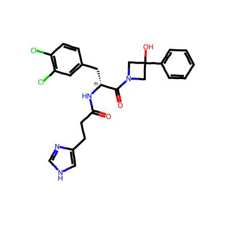 O=C(CCc1c[nH]cn1)N[C@H](Cc1ccc(Cl)c(Cl)c1)C(=O)N1CC(O)(c2ccccc2)C1